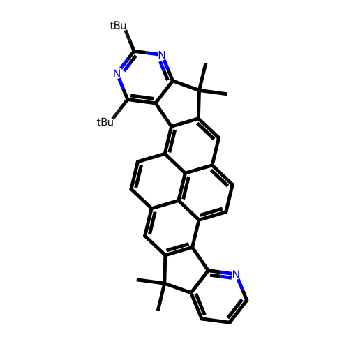 CC(C)(C)c1nc(C(C)(C)C)c2c(n1)C(C)(C)c1cc3ccc4c5c(cc6ccc(c1-2)c3c64)C(C)(C)c1cccnc1-5